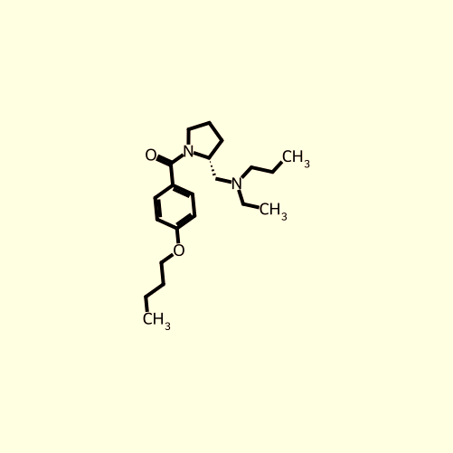 CCCCOc1ccc(C(=O)N2CCC[C@@H]2CN(CC)CCC)cc1